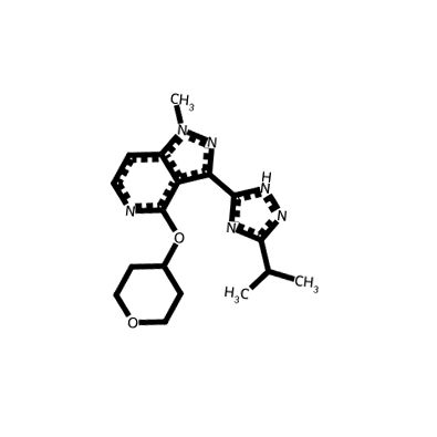 CC(C)c1n[nH]c(-c2nn(C)c3ccnc(OC4CCOCC4)c23)n1